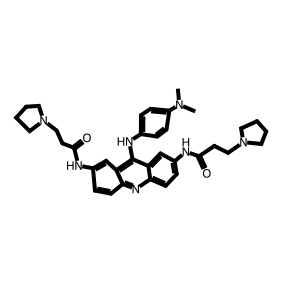 CN(C)c1ccc(Nc2c3cc(NC(=O)CCN4CCCC4)ccc3nc3ccc(NC(=O)CCN4CCCC4)cc23)cc1